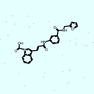 O=C(C=Cc1cn(C(=O)O)c2ccccc12)Nc1cccc(C(=O)NCc2ccco2)c1